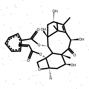 C=CC(=O)O[C@@]12CO[C@@H]1C[C@H](O)[C@@]1(C)C(=O)[C@H](O)C3=C(C)[C@@H](O)C[C@@](O)([C@@H](OC(=O)c4ccccc4)C12)C3(C)C